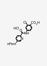 CCCCCc1ccc(C(=O)Nc2ccc(C(=O)O)c(Cl)c2)nc1.Cl